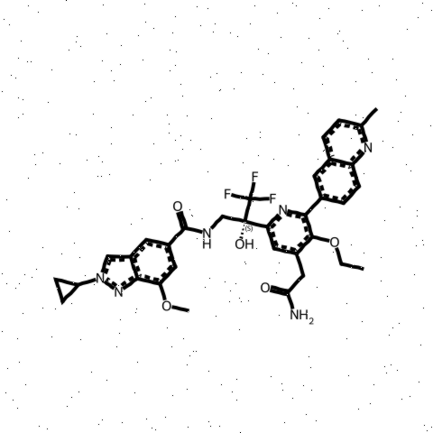 CCOc1c(CC(N)=O)cc([C@@](O)(CNC(=O)c2cc(OC)c3nn(C4CC4)cc3c2)C(F)(F)F)nc1-c1ccc2nc(C)ccc2c1